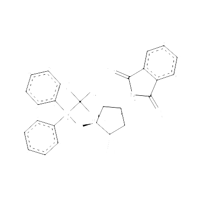 C[C@H]1C[C@@H](N2C(=O)c3ccccc3C2=O)C[C@@H]1O[Si](c1ccccc1)(c1ccccc1)C(C)(C)C